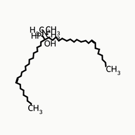 CCCCCCCC/C=C\CCCCCCCCCCCCC(O)(CCCCCCCCCCCC/C=C\CCCCCCCC)C([PH-])[N+](C)(C)C